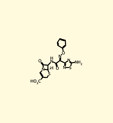 Nc1nc(C(=NOc2ccccc2)C(=O)NC2C(=O)N3C=C(C(=O)O)CS[C@H]23)ns1